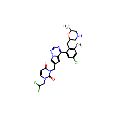 Cc1cc(Cl)cc(-c2ncnn3cc(Cn4c(=O)ccn(CC(F)F)c4=O)cc23)c1CC1CNC[C@H](C)O1